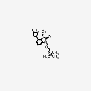 C=C1CC(c2cccc3c2n(C)c(=O)n3COCC[Si](C)(C)C)C1